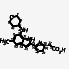 Cc1cc(NC2CCOCC2)c2[nH]c(C3=N[C@H](CC(=O)O)CS3)cc2c1